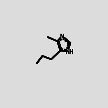 CCCc1[nH]cnc1C